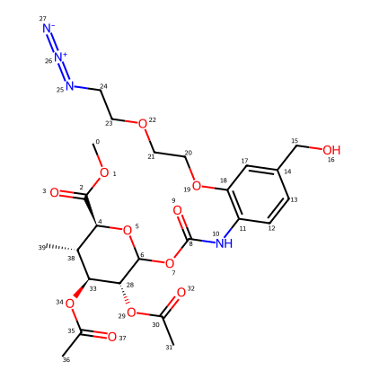 COC(=O)[C@H]1OC(OC(=O)Nc2ccc(CO)cc2OCCOCCN=[N+]=[N-])[C@H](OC(C)=O)[C@@H](OC(C)=O)[C@@H]1C